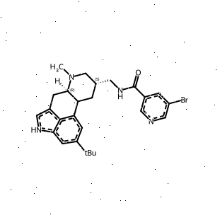 CN1C[C@H](CNC(=O)c2cncc(Br)c2)CC2c3cc(C(C)(C)C)cc4[nH]cc(c34)C[C@H]21